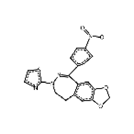 O=[N+]([O-])c1ccc(C2=NN(c3nccs3)CCc3cc4c(cc32)OCO4)cc1